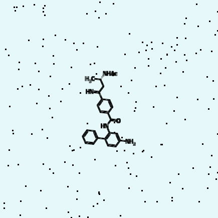 CC(=O)N[C@@H](C)CC(=N)c1ccc(C(=O)Nc2cc(N)ccc2-c2ccccc2)cc1